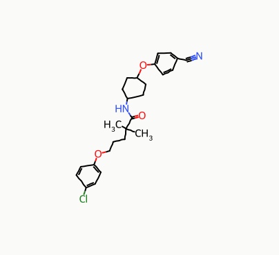 CC(C)(CCCOc1ccc(Cl)cc1)C(=O)NC1CCC(Oc2ccc(C#N)cc2)CC1